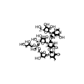 Cc1cn([C@H]2C[C@H](O)[C@@H](COP(=O)(O)OCC(O)CO)O2)c(=O)[nH]c1=O.O=c1ccn([C@@H]2O[C@H](CO)[C@@H](O)[C@H]2O)c(=O)[nH]1.OC[C@H]1O[C@@H](n2cnc3c(O)ncnc32)[C@H](O)[C@@H]1O